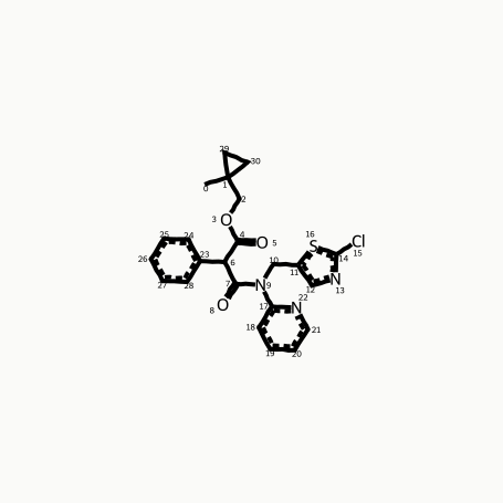 CC1(COC(=O)C(C(=O)N(Cc2cnc(Cl)s2)c2ccccn2)c2ccccc2)CC1